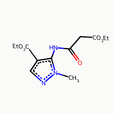 CCOC(=O)CC(=O)Nc1c(C(=O)OCC)cnn1C